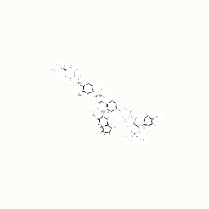 CC1(C)CCC(CN2CCN(c3ccc(C(=O)NS(=O)(=O)c4ccc(NC[C@H]5CC[C@](C)(O)CC5)c([N+](=O)[O-])c4)c(N4CCOc5nc6[nH]ccc6cc54)c3)CC2)=C(c2ccc(Cl)cc2)C1